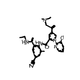 C=C(CN(C)C)c1cc(C(=O)Nc2c(C)cc(C#N)cc2C(=C)NCC)n(-c2ncccc2Cl)c1